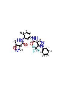 Cc1ccc(NC(=O)c2cnn(-c3ccccc3)c2C(F)(F)F)cc1NC(=O)c1cnoc1C